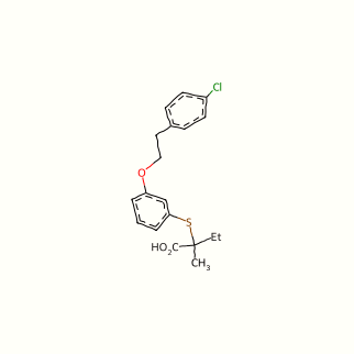 CCC(C)(Sc1cccc(OCCc2ccc(Cl)cc2)c1)C(=O)O